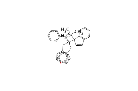 C[Si](C)(C)[C]1([Zr]([CH2]c2ccccc2)([CH2]c2ccccc2)[CH2]c2ccccc2)C=Cc2ccccc21